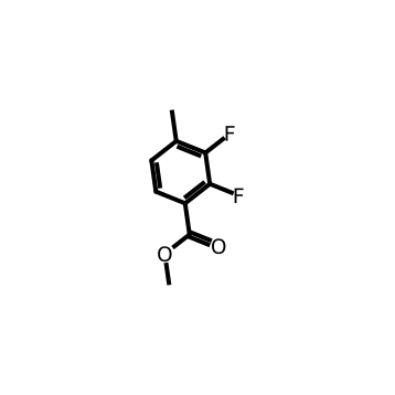 COC(=O)c1ccc(C)c(F)c1F